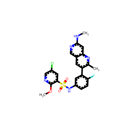 CNc1cc2nc(C)c(-c3cc(NS(=O)(=O)c4cc(Cl)cnc4OC)ccc3F)cc2cn1